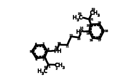 CC(C)c1ccccc1PCCCCPc1ccccc1C(C)C